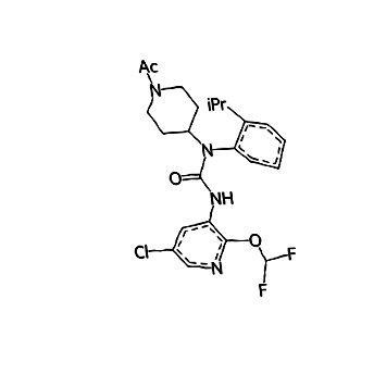 CC(=O)N1CCC(N(C(=O)Nc2cc(Cl)cnc2OC(F)F)c2ccccc2C(C)C)CC1